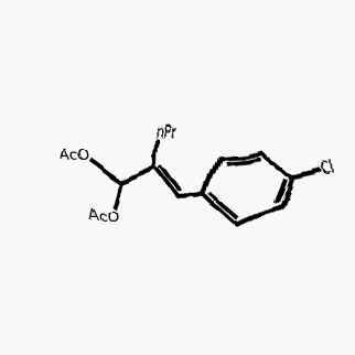 CCC/C(=C\c1ccc(Cl)cc1)C(OC(C)=O)OC(C)=O